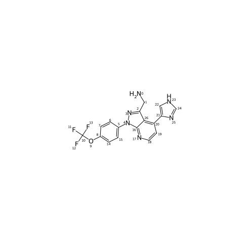 NCc1nn(-c2ccc(OC(F)(F)F)cc2)c2nccc(-c3c[nH]cn3)c12